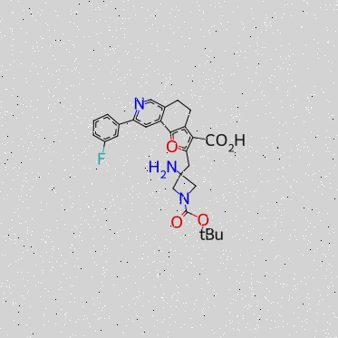 CC(C)(C)OC(=O)N1CC(N)(Cc2oc3c(c2C(=O)O)CCc2cnc(-c4cccc(F)c4)cc2-3)C1